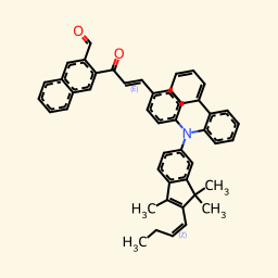 CC/C=C\C1=C(C)c2ccc(N(c3ccc(/C=C/C(=O)c4cc5ccccc5cc4C=O)cc3)c3ccccc3C3=CC=CCC3)cc2C1(C)C